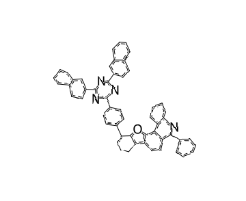 C1=C(c2ccc(-c3nc(-c4ccc5ccccc5c4)nc(-c4ccc5ccccc5c4)n3)cc2)c2oc3c(ccc4c(-c5ccccc5)nc5ccccc5c43)c2CC1